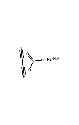 N#CC#N.O=S([O-])[O-].[Na+].[Na+]